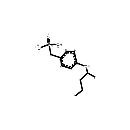 CCCC(C)Oc1ccc(CP(=O)(O)O)cc1